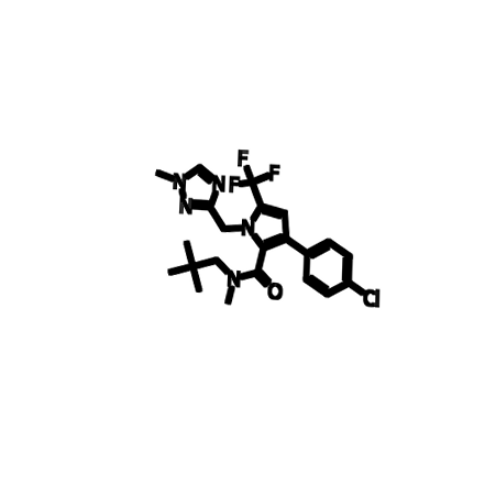 CN(CC(C)(C)C)C(=O)c1c(-c2ccc(Cl)cc2)cc(C(F)(F)F)n1Cc1ncn(C)n1